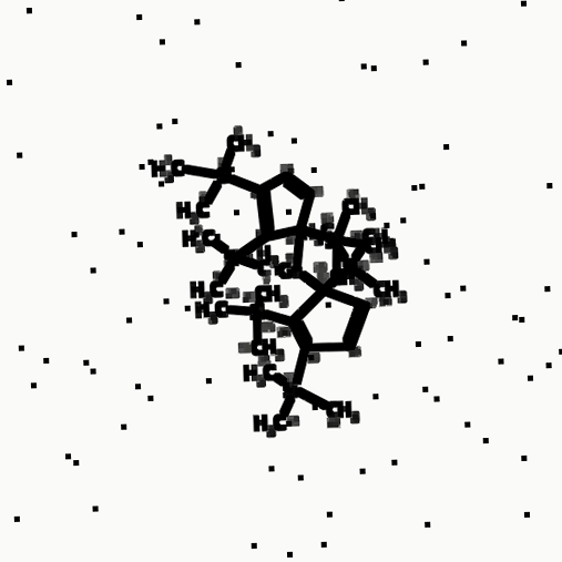 C[Si](C)(C)C1=C([Si](C)(C)C)[C]([Ge][C]2([Si](C)(C)C)C=CC([Si](C)(C)C)=C2[Si](C)(C)C)([Si](C)(C)C)C=C1